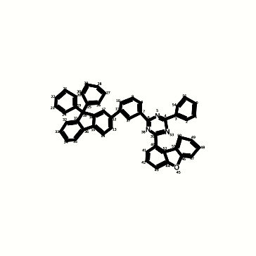 c1ccc(-c2nc(-c3cccc(-c4ccc5c(c4)C(c4ccccc4)(c4ccccc4)c4ccccc4-5)c3)nc(-c3cccc4oc5ccccc5c34)n2)cc1